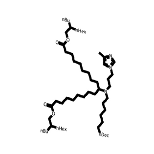 CCCCCCCCCCCCCCCCN(CCCn1cnc(C)c1)C(CCCCCCCCC(=O)OCC(CCCC)CCCCCC)CCCCCCCCC(=O)OCC(CCCC)CCCCCC